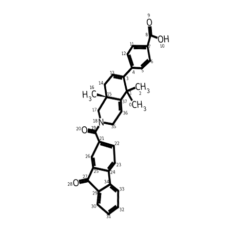 CC1(C)C(c2ccc(C(=O)O)cc2)=CC[C@@]2(C)CN(C(=O)c3ccc4c(c3)C(=O)c3ccccc3-4)CC=C12